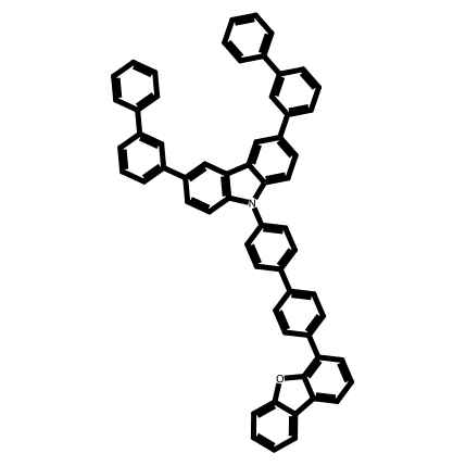 c1ccc(-c2cccc(-c3ccc4c(c3)c3cc(-c5cccc(-c6ccccc6)c5)ccc3n4-c3ccc(-c4ccc(-c5cccc6c5oc5ccccc56)cc4)cc3)c2)cc1